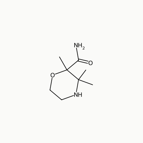 CC1(C)NCCOC1(C)C(N)=O